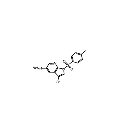 CC(=O)Nc1cnc2c(c1)c(Br)cn2S(=O)(=O)c1ccc(C)cc1